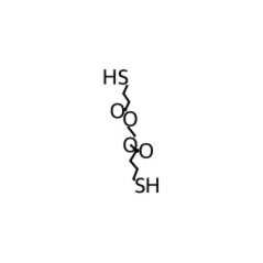 O=C(CCCS)OCCOC(=O)CCCS